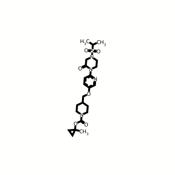 CC(C)S(=O)(=O)N1CCN(c2ccc(OCC3CCN(C(=O)OC4(C)CC4)CC3)cn2)C(=O)C1